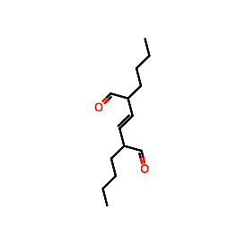 CCCCC(C=O)C=CC(C=O)CCCC